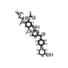 COc1cc(N(C)CCN(C)C)c(NC(C)=O)cc1Nc1nccc(C(=O)c2ccc(N3CCC[C@@H](O)C3)cc2)n1